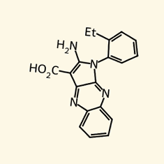 CCc1ccccc1-n1c(N)c(C(=O)O)c2nc3ccccc3nc21